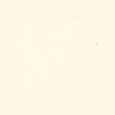 CCOC(=O)C(CCC(C)C)NC1CCC(=O)N2CCCC(C(=O)OC(C)(C)C)N2C1=O